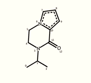 CC(C)N1CCn2cccc2C1=O